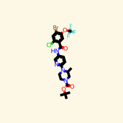 CC1CN(C(=O)OC(C)(C)C)CCN1c1ccc(NC(=O)c2cc(OC(F)(F)F)c(Br)cc2Cl)cn1